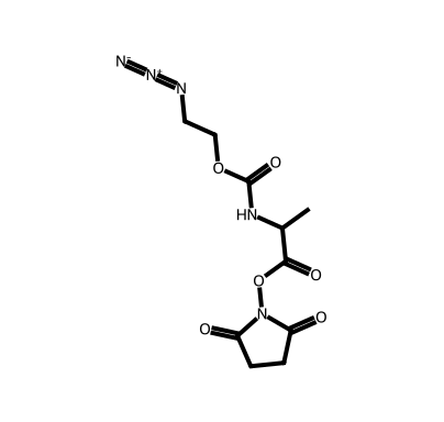 CC(NC(=O)OCCN=[N+]=[N-])C(=O)ON1C(=O)CCC1=O